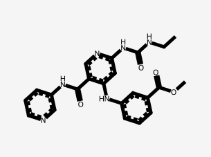 CCNC(=O)Nc1cc(Nc2cccc(C(=O)OC)c2)c(C(=O)Nc2cccnc2)cn1